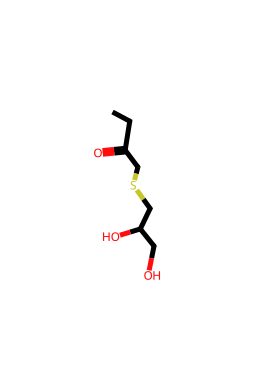 CCC(=O)CSCC(O)CO